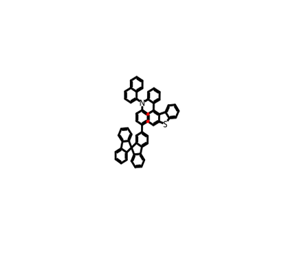 c1ccc(N(c2ccc(-c3ccc4c(c3)C3(c5ccccc5-c5ccccc53)c3ccccc3-4)cc2)c2cccc3ccccc23)c(-c2cccc3sc4ccccc4c23)c1